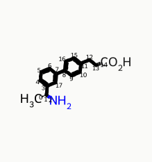 C[C@@H](N)c1cccc(-c2ccc(CCC(=O)O)cc2)c1